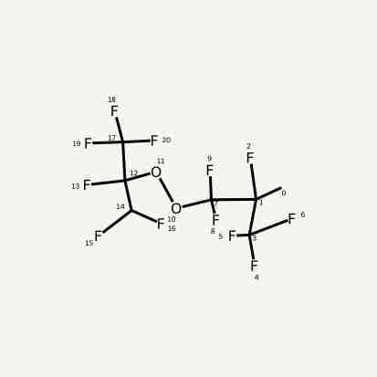 CC(F)(C(F)(F)F)C(F)(F)OOC(F)(C(F)F)C(F)(F)F